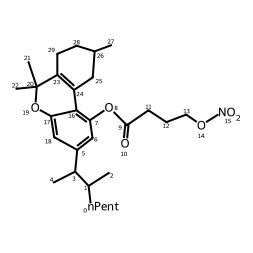 CCCCCC(C)C(C)c1cc(OC(=O)CCCO[N+](=O)[O-])c2c(c1)OC(C)(C)C1=C2CC(C)CC1